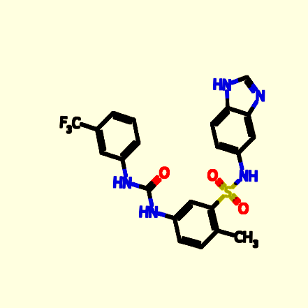 Cc1ccc(NC(=O)Nc2cccc(C(F)(F)F)c2)cc1S(=O)(=O)Nc1ccc2[nH]cnc2c1